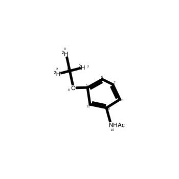 [2H]C([2H])([2H])Oc1cccc(NC(C)=O)c1